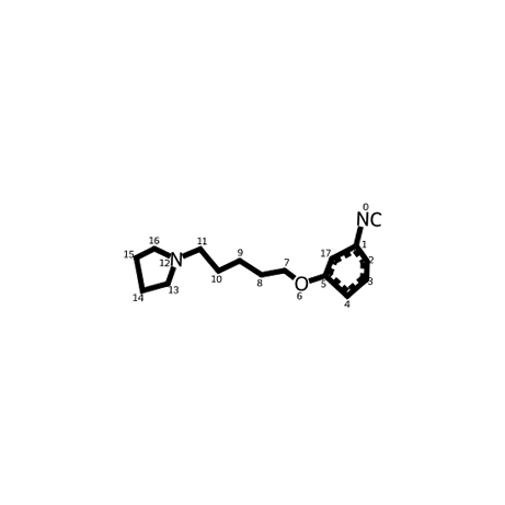 [C-]#[N+]c1cccc(OCCCCCN2CCCC2)c1